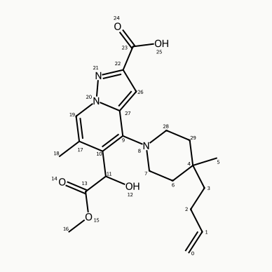 C=CCCC1(C)CCN(c2c(C(O)C(=O)OC)c(C)cn3nc(C(=O)O)cc23)CC1